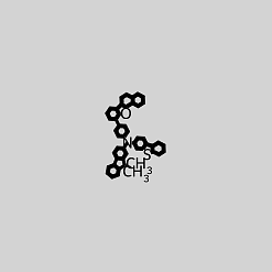 CC1(C)c2ccccc2-c2ccc(N(c3ccc(-c4cccc5c4oc4c6ccccc6ccc54)cc3)c3ccc4c(c3)sc3ccccc34)cc21